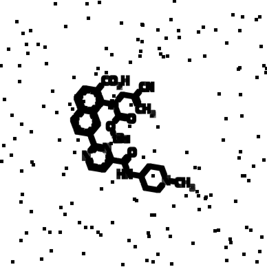 C=C(C#N)CN(C(=O)OC(C)(C)C)c1c(C(=O)O)ccc2ccc(-c3nccc(C(=O)NC4CCN(C)CC4)n3)cc12